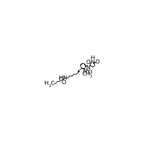 CCCCOC(=O)NCCCCCC#Cc1cccc2c1n(C)c(=O)n2C1CCC(=O)NC1=O